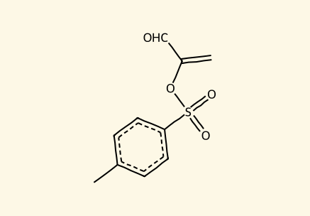 C=C(C=O)OS(=O)(=O)c1ccc(C)cc1